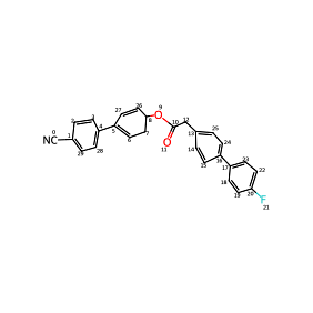 N#Cc1ccc(C2=CCC(OC(=O)Cc3ccc(-c4ccc(F)cc4)cc3)C=C2)cc1